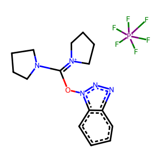 F[P-](F)(F)(F)(F)F.c1ccc2c(c1)nnn2OC(N1CCCC1)=[N+]1CCCC1